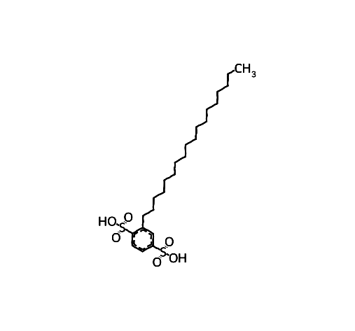 CCCCCCCCCCCCCCCCCCc1cc(S(=O)(=O)O)ccc1S(=O)(=O)O